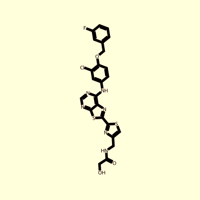 O=C(CO)NCc1csc(-c2nc3c(Nc4ccc(OCc5cccc(F)c5)c(Cl)c4)ncnc3s2)n1